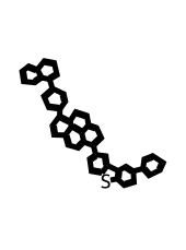 c1ccc(-c2ccc3sc4ccc(-c5ccc6ccc7c(-c8ccc(-c9cccc%10ccccc9%10)cc8)ccc8ccc5c6c87)cc4c3c2)cc1